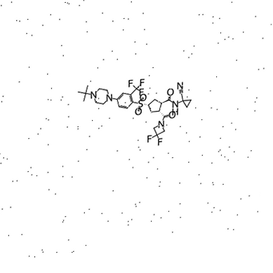 CC(C)(C)N1CCN(c2ccc(S(=O)(=O)[C@@H]3C[C@@H](C(=O)NC4(C#N)CC4)[C@H](C(=O)N4CC(F)(F)C4)C3)c(C(F)(F)F)c2)CC1